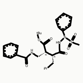 CC(C)C[C@@H](C(=O)NN(c1ccccc1)S(C)(=O)=O)[C@H](CNC(=O)c1ccccc1)C(=O)OC(C)(C)C